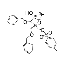 [3H][C@@H]1O[C@](COCc2ccccc2)(COS(=O)(=O)c2ccc(C)cc2)C(OCc2ccccc2)[C@@H]1O